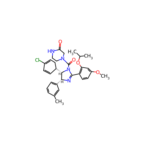 COc1ccc(C2=N[C@H](c3cccc(C)c3)[C@H](C3C=CC(Cl)=CC3)N2C(=O)N2CCNC(=O)C2)c(OC(C)C)c1